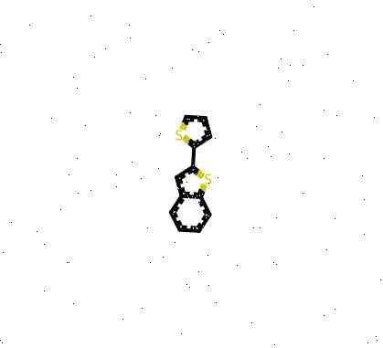 c1csc(-c2cc3ccccc3s2)c1